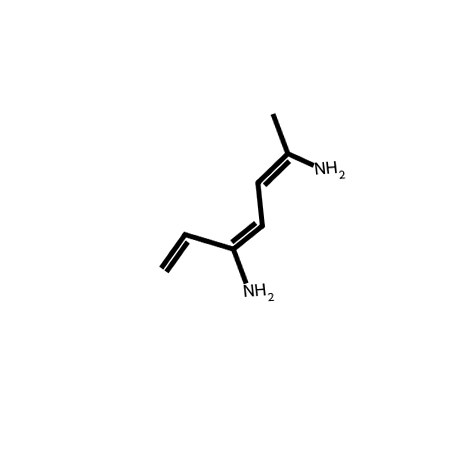 C=C/C(N)=C\C=C(\C)N